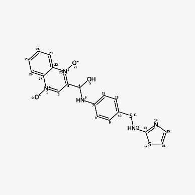 [O-][n+]1cc(C(O)Nc2ccc(SNc3nccs3)cc2)[n+]([O-])c2ccccc21